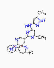 CCc1ccc(CN2C3CC2CN(c2ccc(-c4nc(C)cc(Nc5cc(C)[nH]n5)n4)cn2)C3)cn1